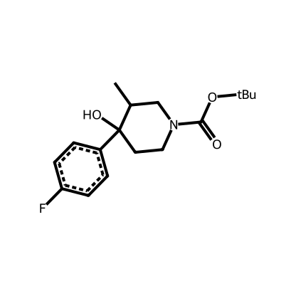 CC1CN(C(=O)OC(C)(C)C)CCC1(O)c1ccc(F)cc1